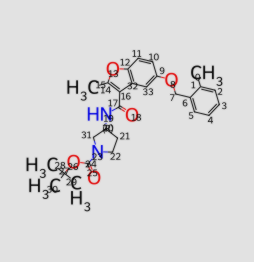 Cc1ccccc1COc1ccc2oc(C)c(C(=O)N[C@@H]3CCN(C(=O)OC(C)(C)C)C3)c2c1